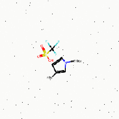 CCCCCCn1ccc(CCCC)c1.O=S(=O)(O)C(F)(F)F